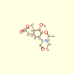 COc1c(OC(C)N2CCOCC2)ccc2c1COC(=O)C2